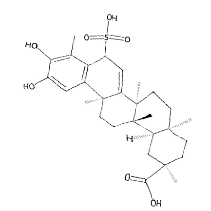 Cc1c(O)c(O)cc2c1C(S(=O)(=O)O)C=C1[C@@]2(C)CC[C@@]2(C)[C@@H]3C[C@](C)(C(=O)O)CC[C@]3(C)CC[C@]12C